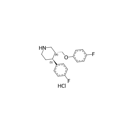 Cl.Fc1ccc(OC[C@H]2CNCC[C@@H]2c2ccc(F)cc2)cc1